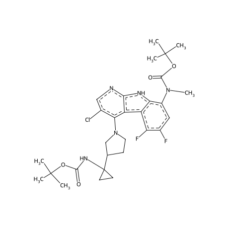 CN(C(=O)OC(C)(C)C)c1cc(F)c(F)c2c1[nH]c1ncc(Cl)c(N3CCC(C4(NC(=O)OC(C)(C)C)CC4)C3)c12